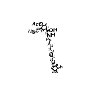 CC(=O)Oc1ccc([C@@H](O)CNCCCCCCOCCOCc2cccc(I)c2)cc1CCO